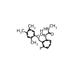 CNC(=O)N(O)c1cccc(I)c1COc1cc(C)c(C)cc1C